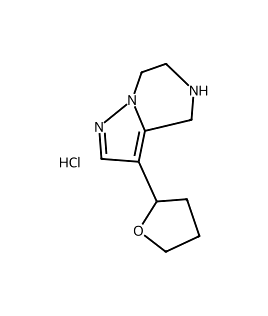 Cl.c1nn2c(c1C1CCCO1)CNCC2